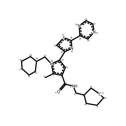 Cc1c(C(=O)NCC2CCCCC2)cc(-c2csc(-c3cnccn3)n2)n1CC1CCCCC1